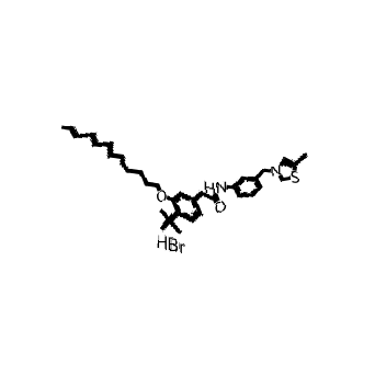 Br.CCCCCCCCCCCCOc1cc(CC(=O)Nc2cccc(CN3C=C(C)SC3)c2)ccc1C(C)(C)C